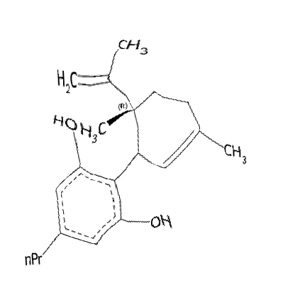 C=C(C)[C@]1(C)CCC(C)=CC1c1c(O)cc(CCC)cc1O